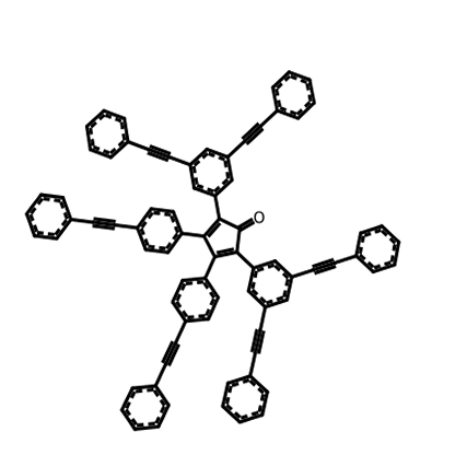 O=C1C(c2cc(C#Cc3ccccc3)cc(C#Cc3ccccc3)c2)=C(c2ccc(C#Cc3ccccc3)cc2)C(c2ccc(C#Cc3ccccc3)cc2)=C1c1cc(C#Cc2ccccc2)cc(C#Cc2ccccc2)c1